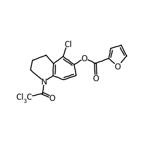 O=C(Oc1ccc2c(c1Cl)CCCN2C(=O)C(Cl)(Cl)Cl)c1ccco1